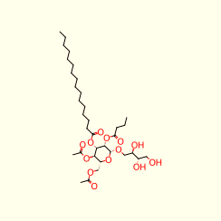 CCCCCCCCCCCCCCCC(=O)O[C@@H]1[C@H](OC(=O)CCC)[C@H](OC[C@@H](O)[C@@H](O)CO)O[C@H](COC(C)=O)[C@H]1OC(C)=O